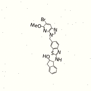 COc1nc2c(cc1Br)ncn2Cc1ccc2nc(N[C@@H]3c4ccccc4C[C@H]3O)sc2c1